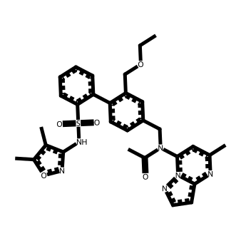 CCOCc1cc(CN(C(C)=O)c2cc(C)nc3ccnn23)ccc1-c1ccccc1S(=O)(=O)Nc1noc(C)c1C